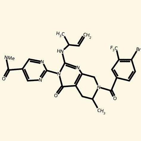 C=CC(C)Nc1nc2c(c(=O)n1-c1ncc(C(=O)NC)cn1)CC(C)N(C(=O)c1ccc(Br)c(C(F)(F)F)c1)C2